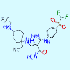 N#CCC1(N/C=C(\C(=N)Nc2ccc(S(=O)(=O)C(F)F)cc2)C(N)=O)CCC(NCC(F)(F)F)CC1